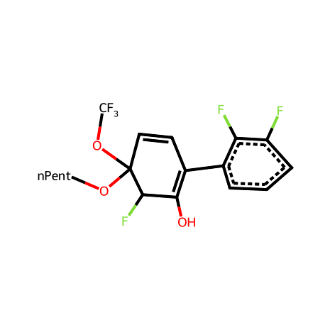 CCCCCOC1(OC(F)(F)F)C=CC(c2cccc(F)c2F)=C(O)C1F